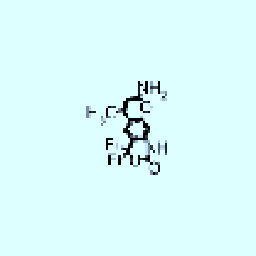 CCC1(CC)OC(=O)Nc2ccc(/C(C)=C\C(N)=O)cc21